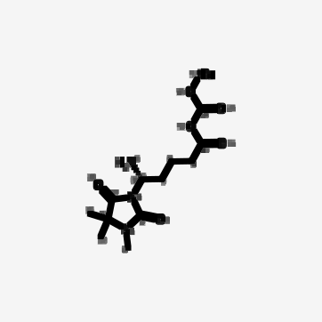 CN1C(=O)N([C@H](N)CCCC(=O)OC(=O)OC(C)(C)C)C(=O)C1(C)C